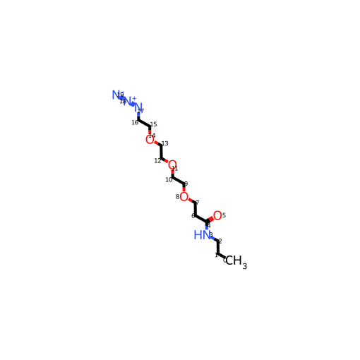 CCCNC(=O)CCOCCOCCOCCN=[N+]=[N-]